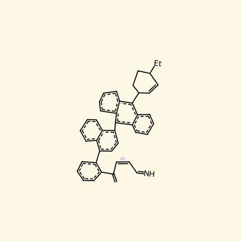 C=C(/C=C\C=N)c1ccccc1-c1ccc(-c2c3ccccc3c(C3C=CC(CC)CC3)c3ccccc23)c2ccccc12